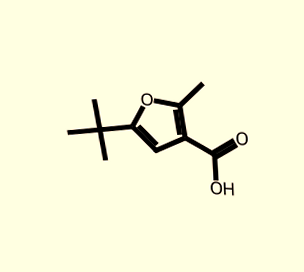 Cc1oc(C(C)(C)C)cc1C(=O)O